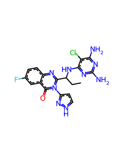 CCC(Nc1nc(N)nc(N)c1Cl)c1nc2ccc(F)cc2c(=O)n1-c1cc[nH]n1